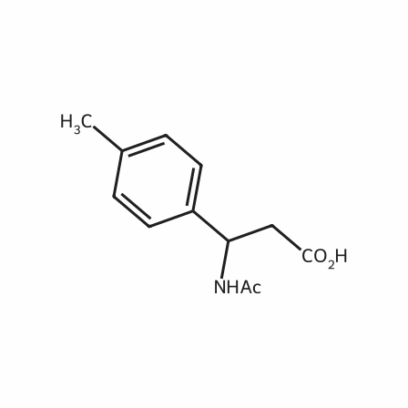 CC(=O)NC(CC(=O)O)c1ccc(C)cc1